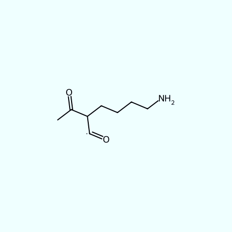 CC(=O)C([C]=O)CCCCN